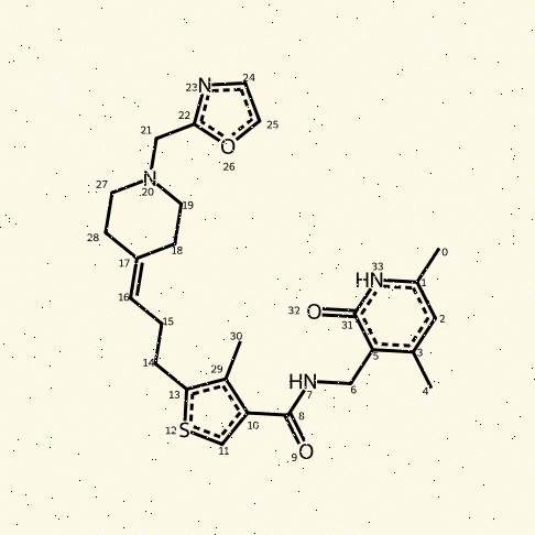 Cc1cc(C)c(CNC(=O)c2csc(CCC=C3CCN(Cc4ncco4)CC3)c2C)c(=O)[nH]1